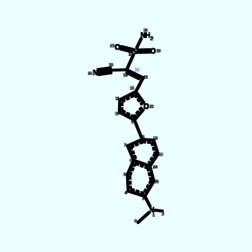 CN(C)c1ccc2cc(-c3ccc(/C=C(\C#N)S(N)(=O)=O)o3)ccc2c1